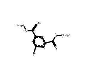 CCCCCCCOC(=O)c1cc(Br)cc(C(=O)OCCCCCCC)c1